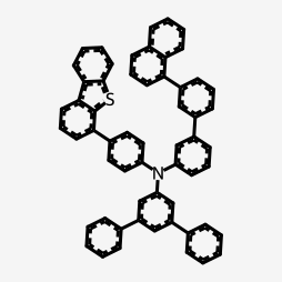 c1ccc(-c2cc(-c3ccccc3)cc(N(c3ccc(-c4cccc5c4sc4ccccc45)cc3)c3cccc(-c4cccc(-c5cccc6ccccc56)c4)c3)c2)cc1